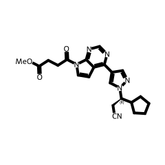 COC(=O)CCC(=O)n1ccc2c(-c3cnn([C@H](CC#N)C4CCCC4)c3)ncnc21